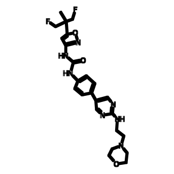 CC(CF)(CF)c1cc(NC(=O)Nc2ccc(-c3cnc(NCCN4CCOCC4)nc3)cc2)no1